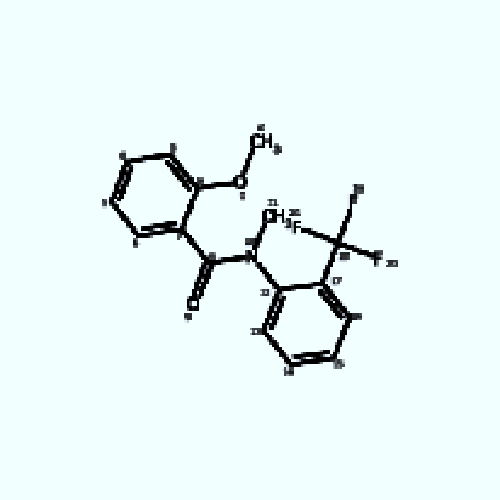 COc1ccccc1C(=O)N(C)c1ccccc1C(F)(F)F